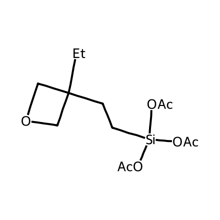 CCC1(CC[Si](OC(C)=O)(OC(C)=O)OC(C)=O)COC1